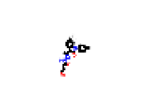 C/C(NNC(=O)CCCO)=C1/C(=O)N(c2ccc(C)cc2)c2cc(C(F)(F)F)ccc21